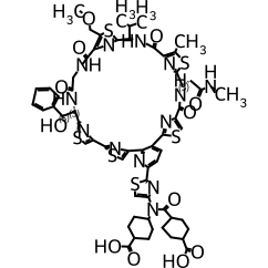 CNC(=O)C[C@@H]1NC(=O)c2csc(n2)-c2ccc(-c3nc(N(C(=O)C4CCC(C(=O)O)CC4)C4CCC(C(=O)O)CC4)cs3)nc2-c2csc(n2)-c2csc(n2)[C@H]([C@@H](O)c2ccccc2)NC(=O)CNC(=O)c2nc(sc2COC)C(C(C)C)NC(=O)c2nc1sc2C